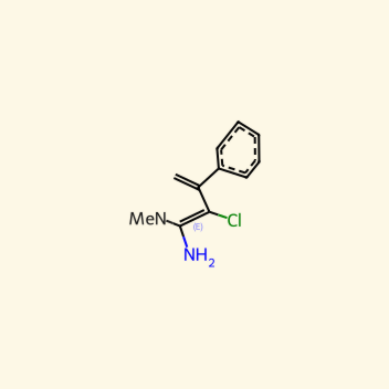 C=C(/C(Cl)=C(/N)NC)c1ccccc1